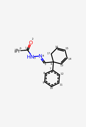 CC(C)C(=O)NN=CC1(c2ccccc2)C=CC=CC1